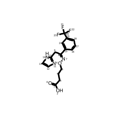 O=C(O)CCCON=C(Cc1ncc[nH]1)c1cccc(C(F)(F)F)c1